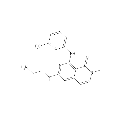 Cn1ccc2cc(NCCN)nc(Nc3cccc(C(F)(F)F)c3)c2c1=O